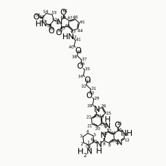 N[C@H]1CCCC[C@H]1Nc1cc2nc[nH]c(=O)c2c(Nc2cccc3c2ccn3CCOCCOCCOCCOCCNc2cccc3c2C(=O)N(C2CCC(=O)NC2=O)C3=O)n1